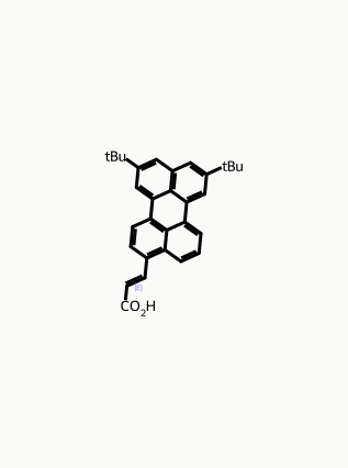 CC(C)(C)c1cc2cc(C(C)(C)C)cc3c4ccc(/C=C/C(=O)O)c5cccc(c(c1)c23)c54